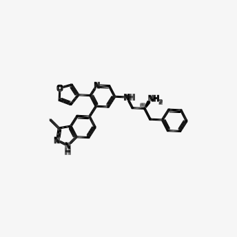 Cc1n[nH]c2ccc(-c3cc(NC[C@@H](N)Cc4ccccc4)cnc3-c3ccoc3)cc12